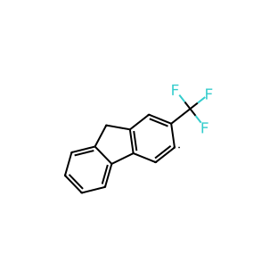 FC(F)(F)c1[c]cc2c(c1)Cc1ccccc1-2